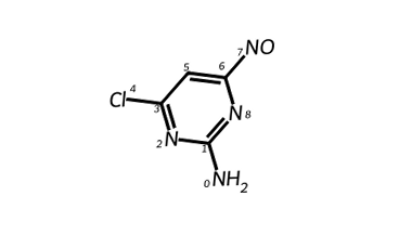 Nc1nc(Cl)cc(N=O)n1